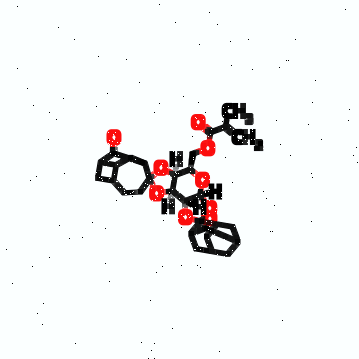 C=C(C)C(=O)OC[C@H]1O[C@@H]2OC3(O[C@@H]2[C@H]2OC4(CCC5CC6C(=O)C4CC56)O[C@H]21)C1CC2CC(C1)C(=O)C3C2